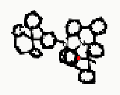 CC1(C)c2ccccc2-c2ccc(N(c3ccc4c(c3)-c3ccccc3C43c4ccccc4C=Cc4ccccc43)c3cccc4c3N(c3ccccc3)c3ccccc3-c3ccccc3-4)cc21